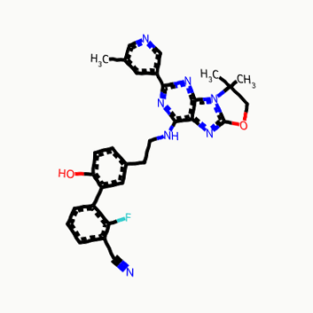 Cc1cncc(-c2nc(NCCc3ccc(O)c(-c4cccc(C#N)c4F)c3)c3nc4n(c3n2)C(C)(C)CO4)c1